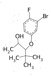 [CH2]C(O)C(Oc1ccc(F)c(Br)c1)C(C)(C)C